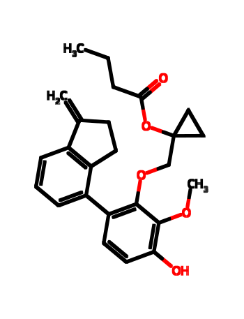 C=C1CCc2c1cccc2-c1ccc(O)c(OC)c1OCC1(OC(=O)CCC)CC1